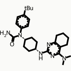 CN(C)c1nc(N[C@H]2CC[C@@H](N(C(N)=O)c3ccc(C(C)(C)C)cc3)CC2)nc2c1CCCC2